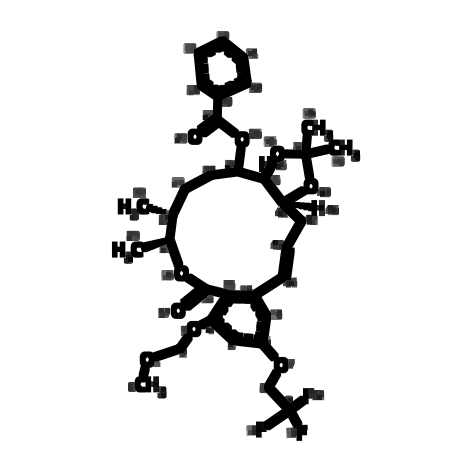 COCOc1cc(OCC(F)(F)F)cc2c1C(=O)O[C@@H](C)[C@H](C)CCC(OC(=O)c1ccccc1)[C@H]1OC(C)(C)O[C@H]1C/C=C/2